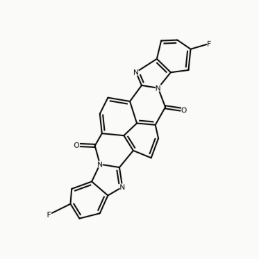 O=c1c2ccc3c4c(ccc(c24)c2nc4ccc(F)cc4n12)c(=O)n1c2cc(F)ccc2nc31